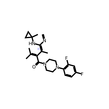 C=N/C(NC1(C)CC1)=C(\C)C(C(=O)N1CCN(c2ccc(F)cc2F)CC1)=C(C)C